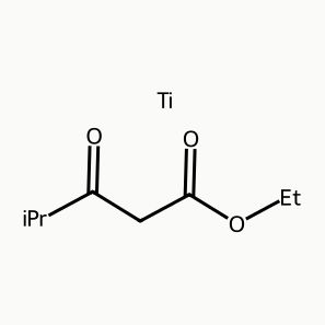 CCOC(=O)CC(=O)C(C)C.[Ti]